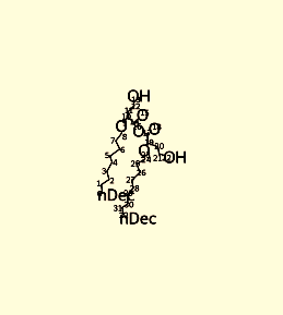 CCCCCCCCCCCCCCCCCCOC(CCO)C(=O)OC(=O)C(CCO)OCCCCCCCCCCCCCCCCCC